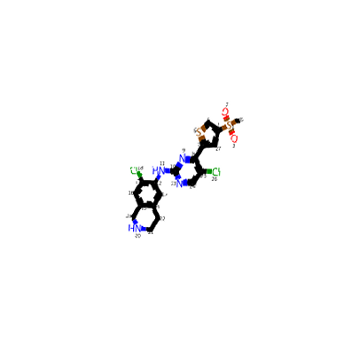 CS(=O)(=O)c1csc(-c2nc(Nc3cc4c(cc3Cl)CNCC4)ncc2Cl)c1